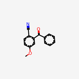 COc1ccc(C#N)c(C(=O)c2ccccc2)c1